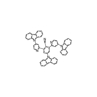 N#Cc1c(-c2cc(-n3c4ccccc4c4ccccc43)ccn2)cc(-n2c3ccccc3c3ccccc32)cc1-c1cc(-n2c3ccccc3c3ccccc32)ccn1